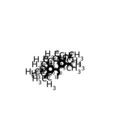 CCOc1c(C(C)(C)C)cc(C(CI)c2cc(C(C)(C)C)c(OCC)c(C(C)(C)C)c2)cc1C(C)(C)C